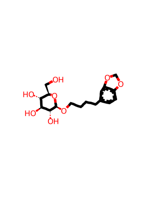 OC[C@H]1O[C@@H](OCCCCc2ccc3c(c2)OCO3)[C@H](O)[C@@H](O)[C@@H]1O